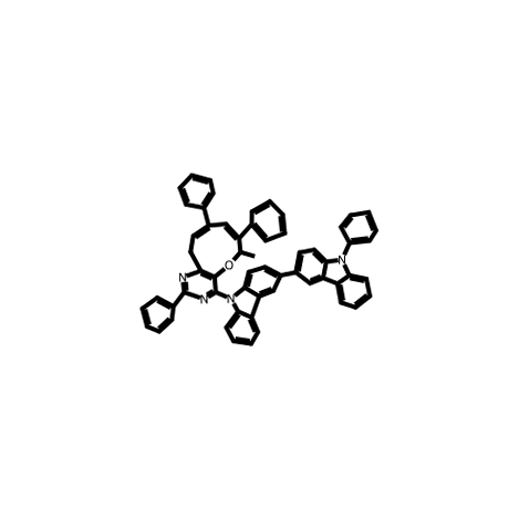 CC1Oc2c(nc(-c3ccccc3)nc2-n2c3ccccc3c3cc(-c4ccc5c(c4)c4ccccc4n5-c4ccccc4)ccc32)C/C=C(c2ccccc2)\C=C/1c1ccccc1